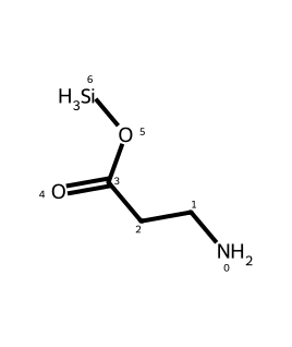 NCCC(=O)O[SiH3]